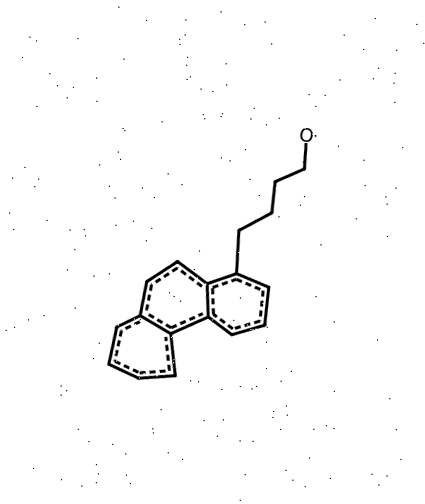 [O]CCCCc1cccc2c1ccc1ccccc12